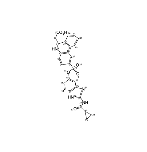 O=C(O)CC(Nc1ccc(S(=O)(=O)Oc2ccc3[nH]c(NC(=O)C4CC4)nc3c2)cc1)c1ccccc1